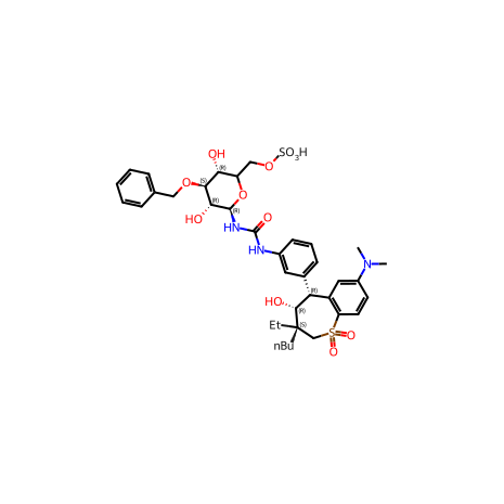 CCCC[C@]1(CC)CS(=O)(=O)c2ccc(N(C)C)cc2[C@@H](c2cccc(NC(=O)N[C@@H]3OC(COS(=O)(=O)O)[C@@H](O)[C@H](OCc4ccccc4)[C@H]3O)c2)[C@H]1O